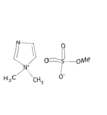 COS(=O)(=O)[O-].C[N+]1(C)C=CN=C1